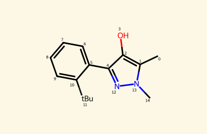 Cc1c(O)c(-c2ccccc2C(C)(C)C)nn1C